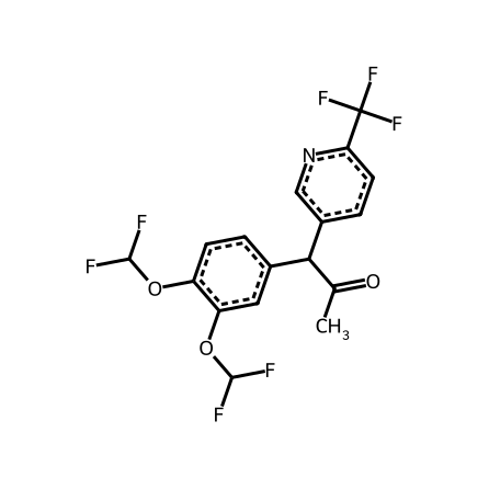 CC(=O)C(c1ccc(C(F)(F)F)nc1)c1ccc(OC(F)F)c(OC(F)F)c1